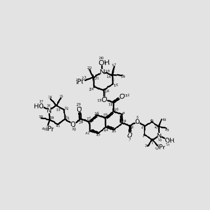 CC(C)C1(C)CC(OC(=O)c2cc(C(=O)OC3CC(C)(C)N(O)C(C)(C(C)C)C3)c3cc(C(=O)OC4CC(C)(C)N(O)C(C)(C(C)C)C4)ccc3c2)CC(C)(C)N1O